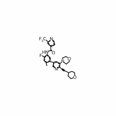 Cc1cc(F)c(NC(=O)c2ccnc(C(F)(F)F)c2)cc1-c1cnc(C#CC2CCOCC2)c(N2CCOCC2)c1